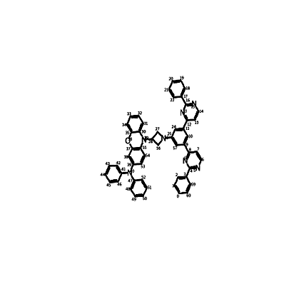 c1ccc(-c2nccc(-c3cc(-c4ccnc(-c5ccccc5)n4)cc(N4CC(N5c6ccccc6Oc6cc(N(c7ccccc7)c7ccccc7)ccc65)C4)c3)n2)cc1